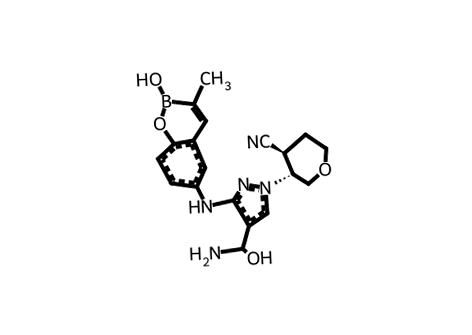 CC1=Cc2cc(Nc3nn([C@H]4COCC[C@@H]4C#N)cc3C(N)O)ccc2OB1O